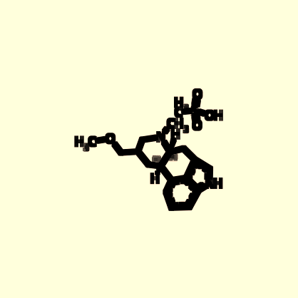 COCC1C[C@@H]2c3cccc4[nH]cc(c34)C[C@H]2N(C)C1.CS(=O)(=O)O